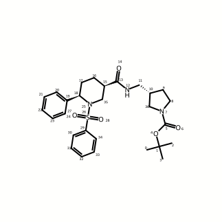 CC(C)(C)OC(=O)N1CC[C@@H](CNC(=O)[C@@H]2CC[C@H](c3ccccc3)N(S(=O)(=O)c3ccccc3)C2)C1